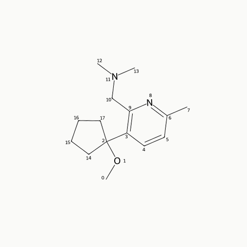 COC1(c2ccc(C)nc2CN(C)C)CCCC1